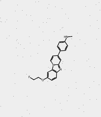 CNc1ccc(-c2ccn3c(c2)nc2ccc(OCCF)cc23)cc1